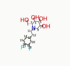 OC[C@@H]1[C@@H](O)[C@H](O)[C@@H](O)CN1CCc1ccc(F)c(F)c1